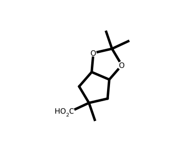 CC1(C)OC2CC(C)(C(=O)O)CC2O1